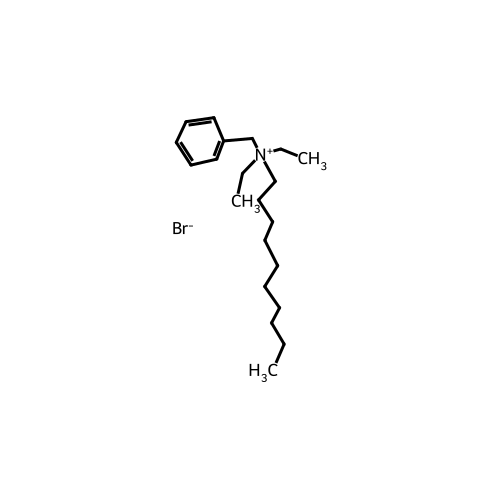 CCCCCCCCCC[N+](CC)(CC)Cc1ccccc1.[Br-]